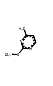 Cc1c[c]nc(SC(Cl)(Cl)Cl)n1